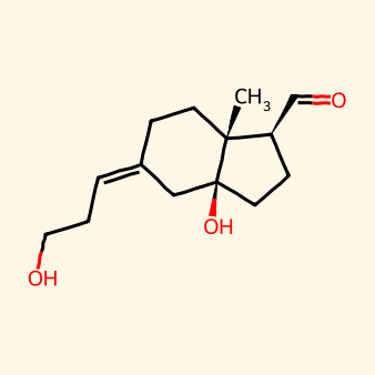 C[C@]12CC/C(=C/CCO)C[C@@]1(O)CC[C@@H]2C=O